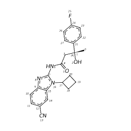 C[C@@](O)(CC(=O)Nc1nc2ccc(C#N)cc2n1C1CCC1)c1ccc(F)cc1